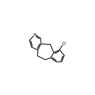 Clc1cccc2c1Cc1cnccc1CC2